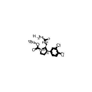 CC(C)(C)OC(=O)N1CC[C@H](c2ccc(Cl)c(Cl)c2)[C@@H]1CNC(N)=O